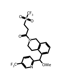 COC(c1ccc(C(F)(F)F)cn1)c1cccc2c1CCN(C(=O)CCS(=O)(=O)C(F)(F)F)C2